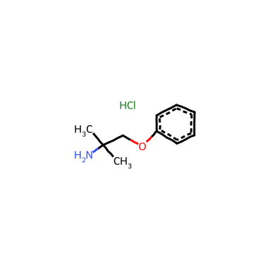 CC(C)(N)COc1ccccc1.Cl